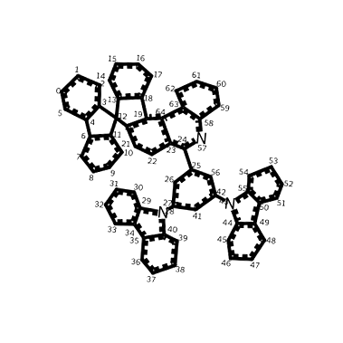 c1ccc2c(c1)-c1ccccc1C21c2ccccc2-c2c1ccc1c(-c3cc(-n4c5ccccc5c5ccccc54)cc(-n4c5ccccc5c5ccccc54)c3)nc3ccccc3c21